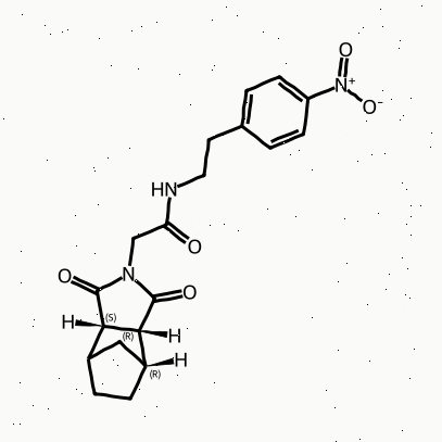 O=C(CN1C(=O)[C@@H]2[C@@H]3CCC(C3)[C@@H]2C1=O)NCCc1ccc([N+](=O)[O-])cc1